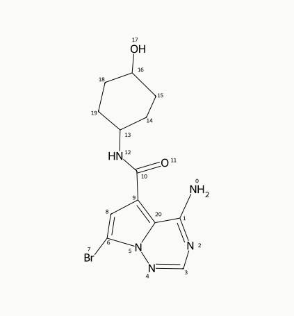 Nc1ncnn2c(Br)cc(C(=O)NC3CCC(O)CC3)c12